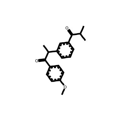 COc1ccc(C(=O)C(C)c2cccc(C(=O)C(C)C)c2)cc1